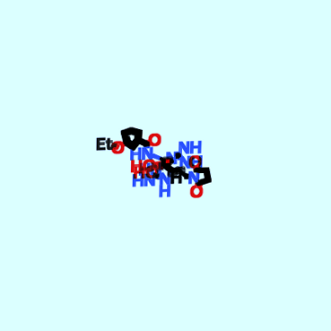 CCOc1cccc(C(=O)N[C@H]2CN3C(=N)N[C@@H](CN4C(=O)CCC4=O)[C@@H]4NC(=N)N[C@@]43C2(O)O)c1